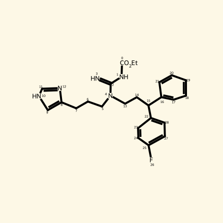 CCOC(=O)NC(=N)N(CCCc1c[nH]cn1)CCC(c1ccccc1)c1ccc(F)cc1